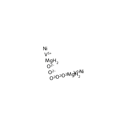 [MgH2].[MgH2].[Ni].[Ni].[O-2].[O-2].[O-2].[O-2].[O-2].[V+5].[V+5]